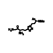 CN[C@@H](CCn1cc(CC[C@H](N)C(=O)CN)nn1)C(C)=O